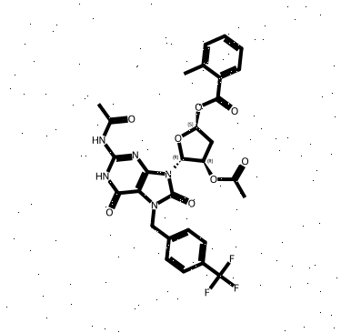 CC(=O)Nc1nc2c(c(=O)[nH]1)n(Cc1ccc(C(F)(F)F)cc1)c(=O)n2[C@@H]1O[C@@H](OC(=O)c2ccccc2C)C[C@H]1OC(C)=O